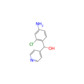 Nc1ccc(C(O)c2ccncc2)c(Cl)c1